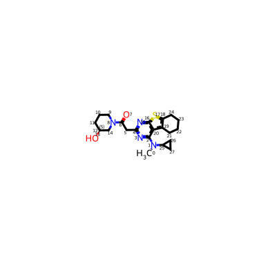 CN(c1nc(CC(=O)N2CCC[C@H](O)C2)nc2sc3c(c12)CCCC3)C1CC1